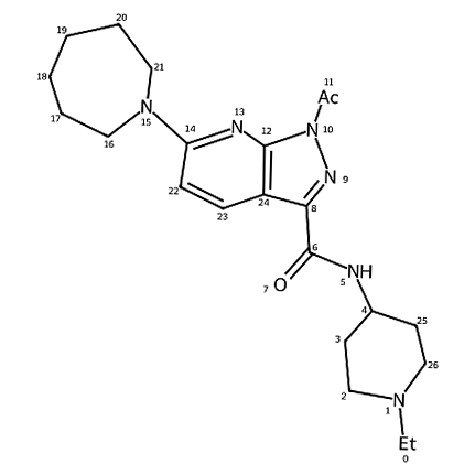 CCN1CCC(NC(=O)c2nn(C(C)=O)c3nc(N4CCCCCC4)ccc23)CC1